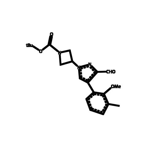 COc1c(C)cccc1-c1cn(C2CN(C(=O)OC(C)(C)C)C2)nc1C=O